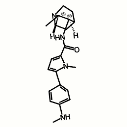 CNc1ccc(-c2ccc(C(=O)N[C@@H]3C4CCN(CC4)[C@H]3C)n2C)cc1